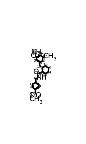 COC(=O)c1ccc(CNC(=O)[C@@H]2CCCC[C@H]2Cc2cc(C)cc(OC)c2)cc1